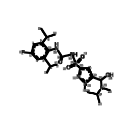 CC(C)c1cc(F)cc(C(C)C)c1NC(=O)NS(=O)(=O)c1cc(C(O)N(C)C(C)C)n(C)n1